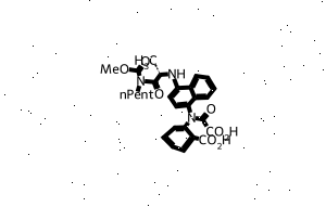 CCCCCN(C(=O)OC)C(=O)[C@H](C)Nc1ccc(N(C(=O)C(=O)O)c2ccccc2C(=O)O)c2ccccc12